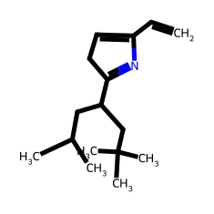 C=CC1=CCC(C(CC(C)C)CC(C)(C)C)=N1